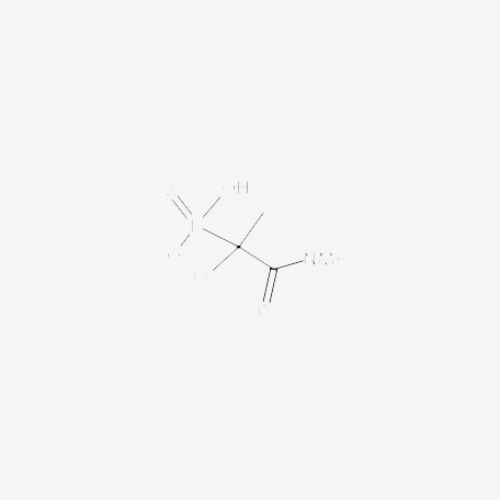 CCC(C)(C(=O)NC)P(=O)(O)O